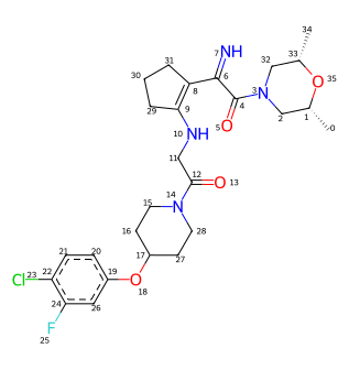 C[C@@H]1CN(C(=O)C(=N)C2=C(NCC(=O)N3CCC(Oc4ccc(Cl)c(F)c4)CC3)CCC2)C[C@H](C)O1